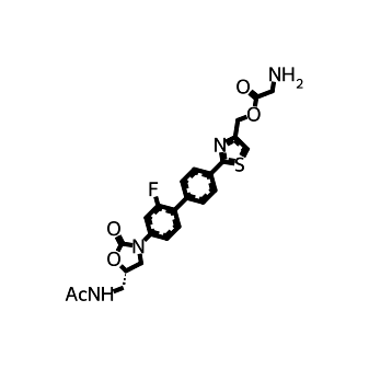 CC(=O)NC[C@H]1CN(c2ccc(-c3ccc(-c4nc(COC(=O)CN)cs4)cc3)c(F)c2)C(=O)O1